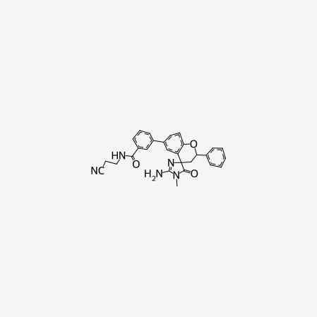 CN1C(=O)C2(CC(c3ccccc3)Oc3ccc(-c4cccc(C(=O)NCCC#N)c4)cc32)N=C1N